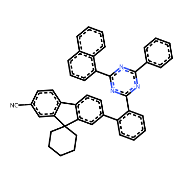 N#Cc1ccc2c(c1)C1(CCCCC1)c1cc(-c3ccccc3-c3nc(-c4ccccc4)nc(-c4cccc5ccccc45)n3)ccc1-2